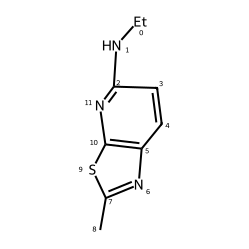 CCNc1ccc2nc(C)sc2n1